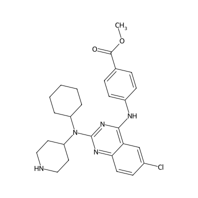 COC(=O)c1ccc(Nc2nc(N(C3CCCCC3)C3CCNCC3)nc3ccc(Cl)cc23)cc1